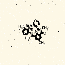 Cc1cc(C(C)Nc2cccc(C)c2S(C)(=O)=O)c2nc(N3CCOCC3)n(C)c(=O)c2c1